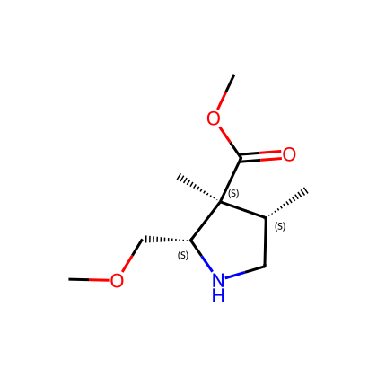 COC[C@H]1NC[C@@H](C)[C@]1(C)C(=O)OC